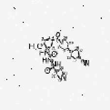 Cc1ccc(C(=O)N2CCC(c3ccc(C#N)cc3)CC2)cc1NC(=O)NNC(=O)c1ccncc1